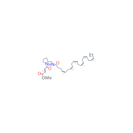 CC/C=C\C/C=C\C/C=C\C/C=C\C/C=C\C/C=C\CCC(=O)NCC1CCCN1C(=O)/C=C/C(=O)OC